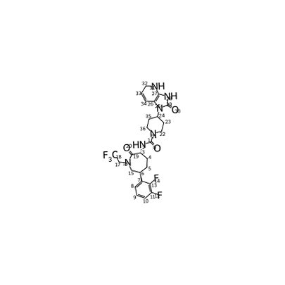 O=C(N[C@@H]1CC[C@@H](c2cccc(F)c2F)CN(CC(F)(F)F)C1=O)N1CCC(n2c3c([nH]c2=O)NCC=C3)CC1